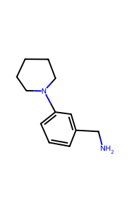 NCc1cccc(N2CCCCC2)c1